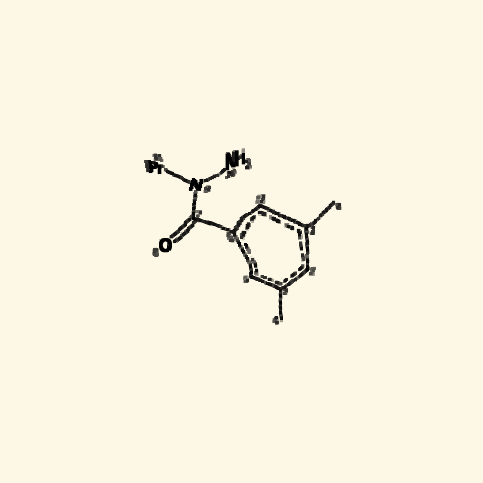 Cc1cc(C)cc(C(=O)N(N)C(C)C)c1